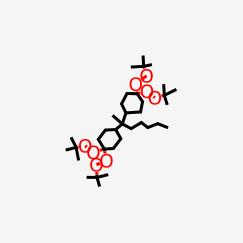 CCCCCC(C)(C1CCC(OOC(C)(C)C)(OOC(C)(C)C)CC1)C1CCC(OOC(C)(C)C)(OOC(C)(C)C)CC1